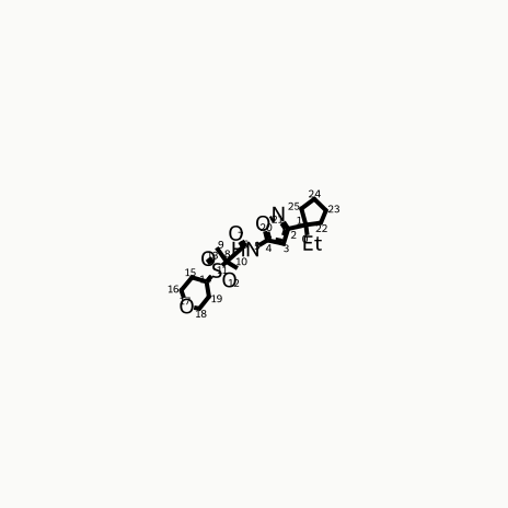 CCC1(c2cc(NC(=O)C(C)(C)S(=O)(=O)C3CCOCC3)on2)CCCC1